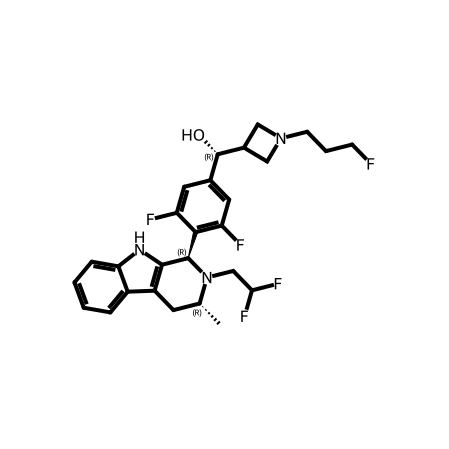 C[C@@H]1Cc2c([nH]c3ccccc23)[C@@H](c2c(F)cc([C@H](O)C3CN(CCCF)C3)cc2F)N1CC(F)F